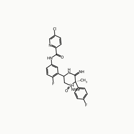 CN[SH]1(=O)CC(c2cc(NC(=O)c3ccc(Cl)cn3)ccc2F)NC(=N)[C@@]1(C)c1ccc(F)cc1